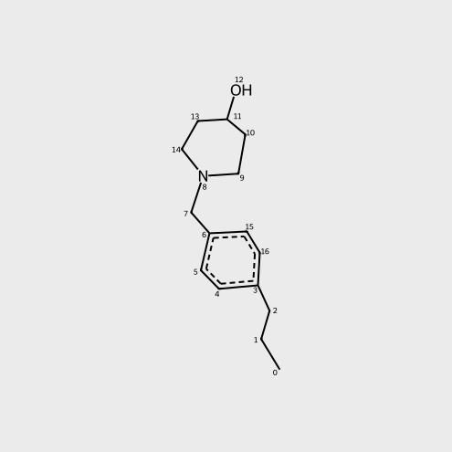 CCCc1ccc(CN2CCC(O)CC2)cc1